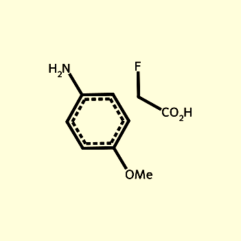 COc1ccc(N)cc1.O=C(O)CF